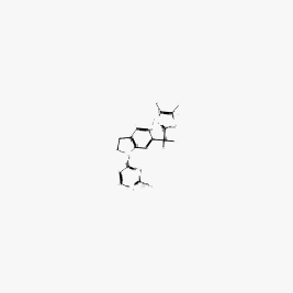 Cc1nc(C(C)(O)c2ccc3c(c2)N(c2ccnc(N)n2)CC3)sc1C